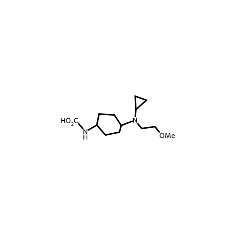 COCCN(C1CCC(NC(=O)O)CC1)C1CC1